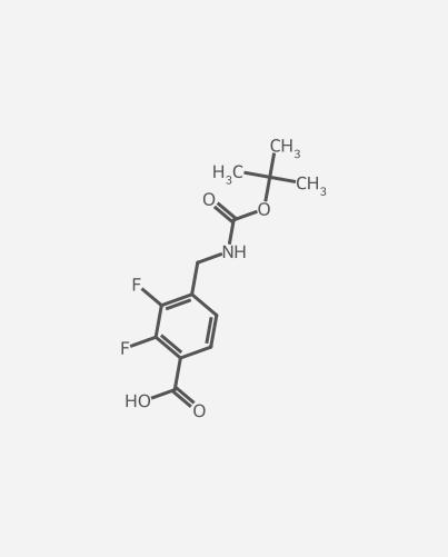 CC(C)(C)OC(=O)NCc1ccc(C(=O)O)c(F)c1F